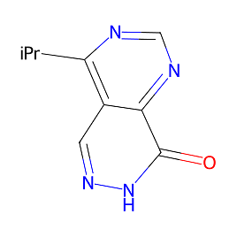 CC(C)c1ncnc2c(=O)[nH]ncc12